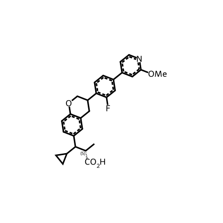 COc1cc(-c2ccc(C3COc4ccc(C(C5CC5)[C@H](C)C(=O)O)cc4C3)c(F)c2)ccn1